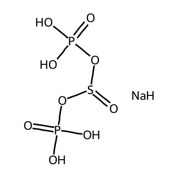 O=S(OP(=O)(O)O)OP(=O)(O)O.[NaH]